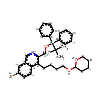 CC(C)(C)[Si](OCc1ncc2cc(Br)ccc2c1CCCCOC1CCCCO1)(c1ccccc1)c1ccccc1